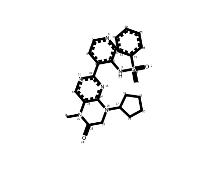 C=S(=O)(Nc1cnccc1-c1ncc2c(n1)N(C1CCCC1)CC(=O)N2C)c1ccccc1